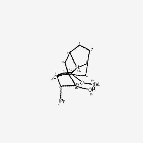 CC(C)C1CC2(CC3CCC(C2)N3C(=O)OC(C)(C)C)C1O